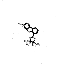 Cc1ccc2c(c1)oc1c(B3OC(C)(C)C(C)(C)O3)cccc12